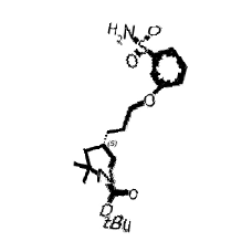 CC(C)(C)OC(=O)N1C[C@@H](CCCOc2cccc(S(N)(=O)=O)c2)CC1(C)C